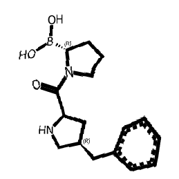 O=C(C1C[C@@H](Cc2ccccc2)CN1)N1CCC[C@H]1B(O)O